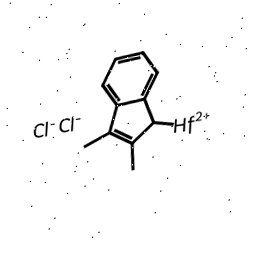 CC1=C(C)[CH]([Hf+2])c2ccccc21.[Cl-].[Cl-]